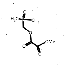 COC(=O)C(=O)OCP(C)(C)=O